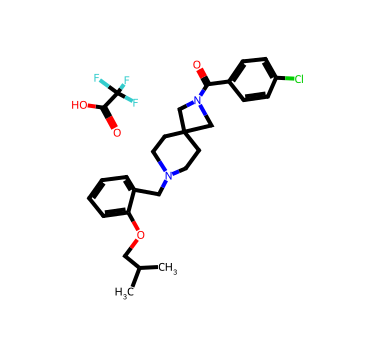 CC(C)COc1ccccc1CN1CCC2(CC1)CN(C(=O)c1ccc(Cl)cc1)C2.O=C(O)C(F)(F)F